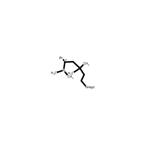 CCCCCCCCCC(C)(C)C[C@H](C(C)C)N(C)C